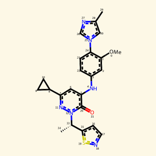 COc1cc(Nc2cc(C3CC3)nn([C@@H](C)c3ccns3)c2=O)ccc1-n1cnc(C)c1